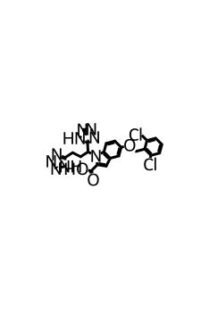 O=C(O)c1cc2cc(OCc3c(Cl)cccc3Cl)ccc2n1C(CCc1nnn[nH]1)c1nnn[nH]1